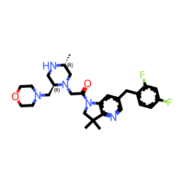 C[C@@H]1CN(CC(=O)N2CC(C)(C)c3ncc(Cc4ccc(F)cc4F)cc32)[C@@H](CN2CCOCC2)CN1